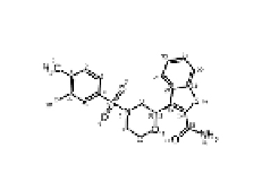 Cc1ccc(S(=O)(=O)N2CCO[C@H](c3c(C(N)=O)sc4ccccc34)C2)cc1F